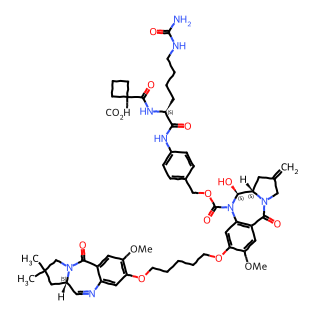 C=C1C[C@H]2[C@H](O)N(C(=O)OCc3ccc(NC(=O)[C@H](CCCCNC(N)=O)NC(=O)C4(C(=O)O)CCC4)cc3)c3cc(OCCCCCOc4cc5c(cc4OC)C(=O)N4CC(C)(C)C[C@H]4C=N5)c(OC)cc3C(=O)N2C1